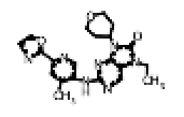 CCn1c(=O)n(C2CCOCC2)c2nc(Nc3cnc(-c4ncco4)cc3C)ncc21